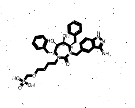 Nc1n[nH]c2ccc(CN3C(=O)N(CCCCOCP(=O)(O)O)[C@H](Cc4ccccc4)[C@H](O)[C@@H](O)[C@H]3Cc3ccccc3)cc12